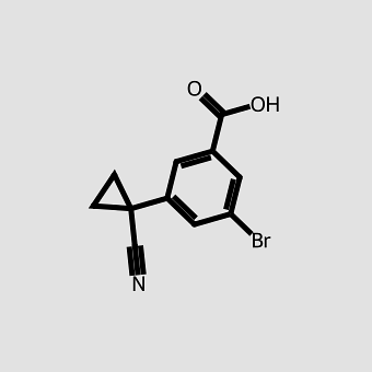 N#CC1(c2cc(Br)cc(C(=O)O)c2)CC1